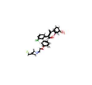 CC1=C(c2cccc(Cl)c2)[C@@H](c2ccc(OCCN3CC(CF)C3)cc2)Oc2cc(O)ccc21